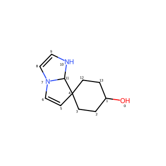 OC1CCC2(C=CN3C=CNC32)CC1